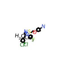 CC(C)(c1ccc(Cl)c(Cl)c1)c1cnc(SCCOc2ccc(C#N)cc2)n1-c1ccc(F)cc1